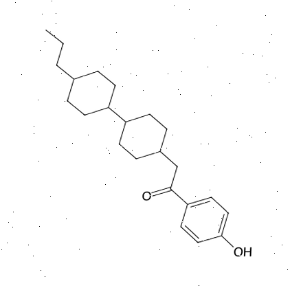 CCCC1CCC(C2CCC(CC(=O)c3ccc(O)cc3)CC2)CC1